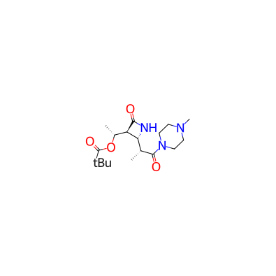 C[C@@H](OC(=O)C(C)(C)C)[C@H]1C(=O)N[C@@H]1[C@@H](C)C(=O)N1CCN(C)CC1